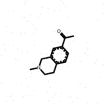 CC(=O)c1ccc2c(c1)CN(C)CC2